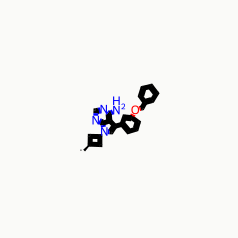 [CH2][C@H]1C[C@H](n2cc(-c3cccc(OCc4ccccc4)c3)c3c(N)ncnc32)C1